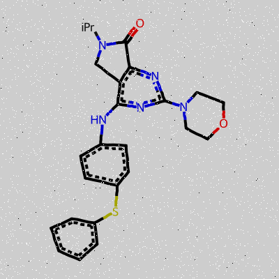 CC(C)N1Cc2c(Nc3ccc(Sc4ccccc4)cc3)nc(N3CCOCC3)nc2C1=O